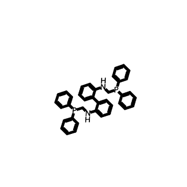 c1ccc(P(CNc2ccccc2-c2ccccc2NCP(c2ccccc2)c2ccccc2)c2ccccc2)cc1